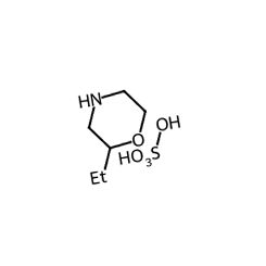 CCC1CNCCO1.O=S(=O)(O)O